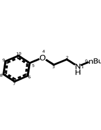 CCCCNCCOc1ccccc1